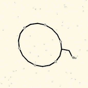 CC(C)(C)CC1COCCOCCOCCOCCOCCO1